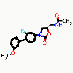 COc1cccc(-c2ccc(N3C[C@H](CNC(C)=O)OC3=O)cc2F)c1